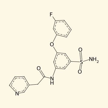 NS(=O)(=O)c1cc(NC(=O)Cc2cccnc2)cc(Oc2cccc(F)c2)c1